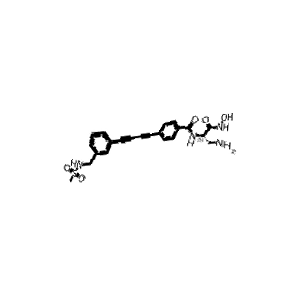 CS(=O)(=O)NCc1cccc(C#CC#Cc2ccc(C(=O)N[C@@H](CN)C(=O)NO)cc2)c1